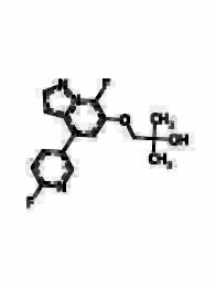 CC(C)(O)COc1cc(-c2ccc(F)nc2)c2ccnn2c1F